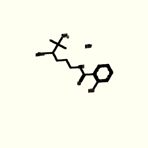 Br.CCCCCCCCCCC(CCCNC(=O)c1ccccc1O)C(C)(C)N